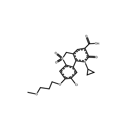 COCCCOc1cc2c(cc1Cl)-c1c(cc(C(=O)O)c(=O)n1C1CC1)CS2(=O)=O